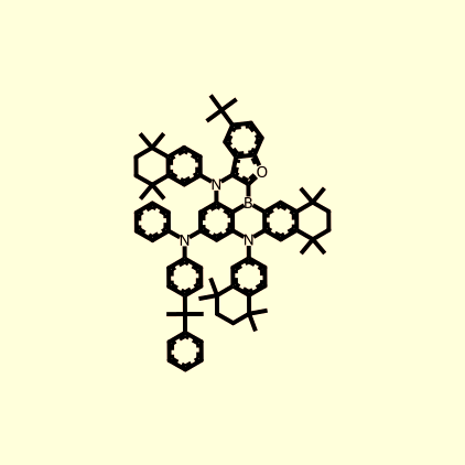 CC(C)(C)c1ccc2oc3c(c2c1)N(c1ccc2c(c1)C(C)(C)CCC2(C)C)c1cc(N(c2ccccc2)c2ccc(C(C)(C)c4ccccc4)cc2)cc2c1B3c1cc3c(cc1N2c1ccc2c(c1)C(C)(C)CCC2(C)C)C(C)(C)CCC3(C)C